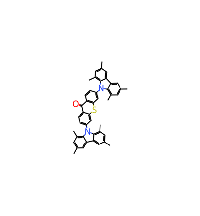 Cc1cc(C)c2c(c1)c1cc(C)cc(C)c1n2-c1ccc2c(=O)c3ccc(-n4c5c(C)cc(C)cc5c5cc(C)cc(C)c54)cc3sc2c1